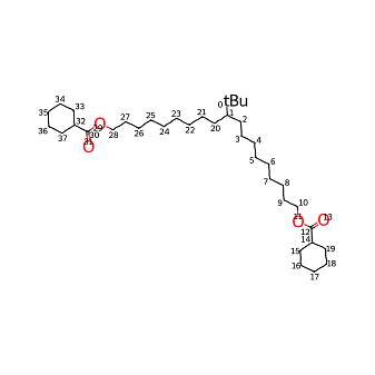 CC(C)(C)C(CCCCCCCCCOC(=O)C1CCCCC1)CCCCCCCCCOC(=O)C1CCCCC1